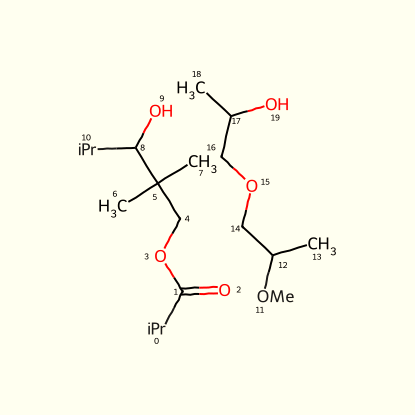 CC(C)C(=O)OCC(C)(C)C(O)C(C)C.COC(C)COCC(C)O